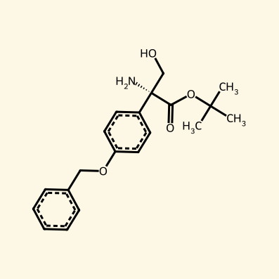 CC(C)(C)OC(=O)[C@](N)(CO)c1ccc(OCc2ccccc2)cc1